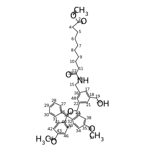 COC(=O)CCCCCCCCC(=O)NCc1cc(CO)cc(COC(c2ccccc2)(c2ccc(OC)cc2)c2ccc(OC)cc2)c1